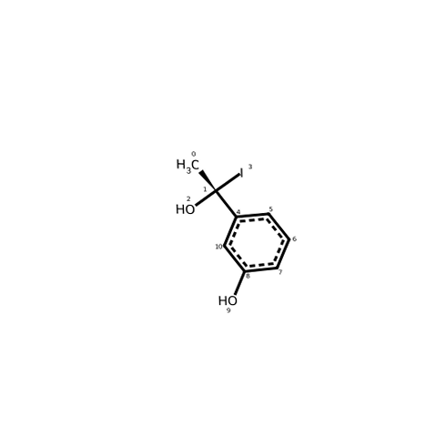 C[C@@](O)(I)c1cccc(O)c1